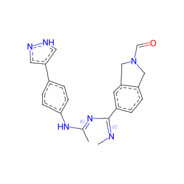 C/N=C(\N=C(/C)Nc1ccc(-c2cn[nH]c2)cc1)c1ccc2c(c1)CN(C=O)C2